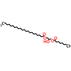 CCCCCCCCCCCCCCCCCCCCCC(=O)OCC(O)COC(=O)CCCCCCC